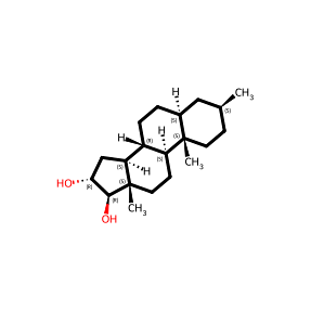 C[C@H]1CC[C@@]2(C)[C@@H](CC[C@@H]3[C@@H]2CC[C@]2(C)[C@@H](O)[C@H](O)C[C@@H]32)C1